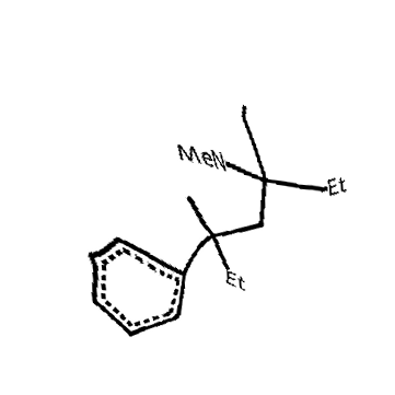 CCC(C)(CC(C)(CC)c1ccccc1)NC